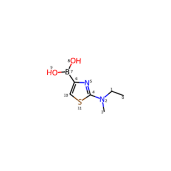 CCN(C)c1nc(B(O)O)cs1